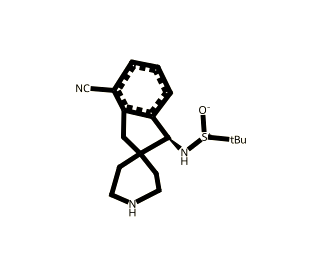 [CH2]C(C)(C)[S+]([O-])N[C@@H]1c2cccc(C#N)c2CC12CCNCC2